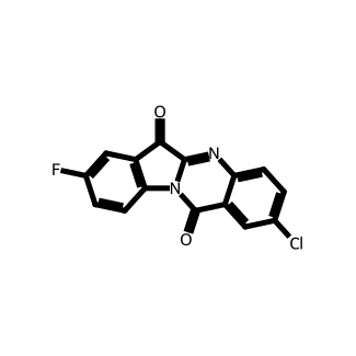 O=C1c2cc(F)ccc2-n2c1nc1ccc(Cl)cc1c2=O